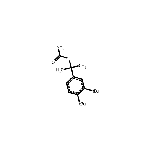 CC(C)(C)c1ccc(C(C)(C)OC(N)=O)cc1C(C)(C)C